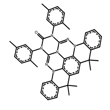 Cc1ccc(C)c(N2C(=O)N(c3cc(C)ccc3C)C3=NB4c5ccccc5C(C)(C)c5cc6c7c(c54)N3C2=NB7c2ccccc2C6(C)C)c1